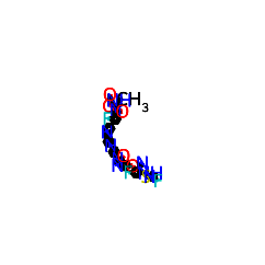 CCCC(C(=O)NC=O)N1Cc2c(ccc(C3CCN(CC4CCN(c5ccc(-n6cnc7ccc(Oc8c(F)ccc(NSN9CCC(F)C9)c8C#N)cc7c6=O)cc5)CC4)CC3)c2F)C1=O